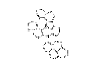 c1cc2c3c(c1)N(c1ccc4ccc5cccc6ccc1c4c56)c1ccc4ncccc4c1B3c1c-2ccc2cccnc12